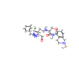 CSN1CCc2c(ccc3c2N(C)C(=O)C(N(C)CCc2c(C=O)nn(Cc4ccccc4)c2Cl)CO3)C1